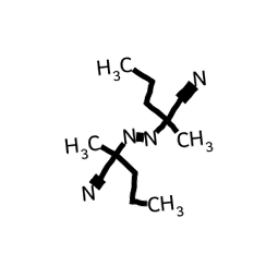 CCCC(C)(C#N)/N=N/C(C)(C#N)CCC